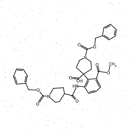 COC(=O)c1cccc(NC(=O)C2CCN(C(=O)OCc3ccccc3)CC2)c1C1(C(=O)O)CCN(C(=O)OCc2ccccc2)CC1